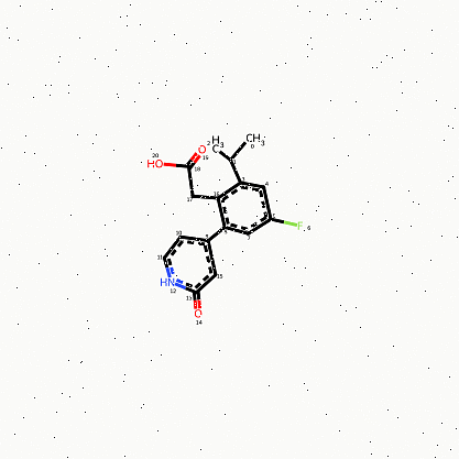 CC(C)c1cc(F)cc(-c2cc[nH]c(=O)c2)c1CC(=O)O